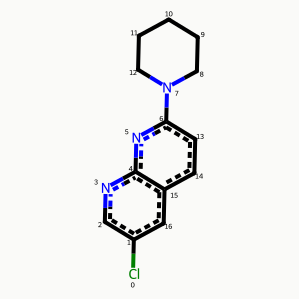 Clc1cnc2nc(N3CCCCC3)ccc2c1